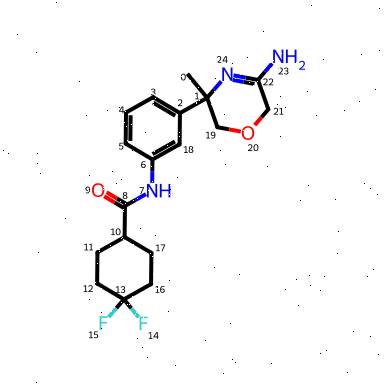 CC1(c2cccc(NC(=O)C3CCC(F)(F)CC3)c2)COCC(N)=N1